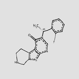 C[C@H](c1ccccc1F)n1cnc2sc3c(c2c1=O)CCNC3